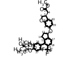 COC(=O)C[C@@H]1COc2cc(O[C@@H]3CCc4c3ccc(C(F)(F)F)c4-c3ccc(O[Si](C)(C)C(C)(C)C)cc3)ccc21